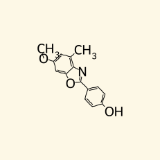 COc1cc(C)c2nc(-c3ccc(O)cc3)oc2c1